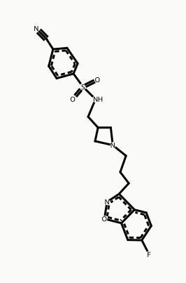 N#Cc1ccc(S(=O)(=O)NCC2CN(CCCc3noc4cc(F)ccc34)C2)cc1